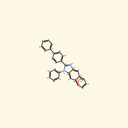 c1ccc(-c2ccc(-c3nc4cc5c6ccc(o6)c5cc4n3-c3ccccc3)cc2)cc1